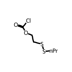 CCCSSCCOC(=O)Cl